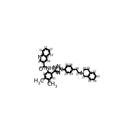 Cc1cc(NC(=O)c2cnc3ccccc3c2)c(-c2nnn(-c3ccc(CCN4CCc5ccccc5C4)cc3)n2)cc1C